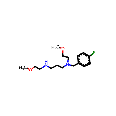 COCCNCCCN(CCOC)Cc1ccc(F)cc1